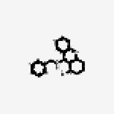 OC1CCCc2nc3ccccc3c(NCc3ccccc3)c21